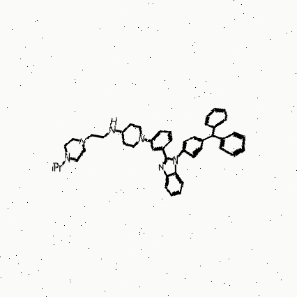 CC(C)N1CCN(CCNC2CCN(c3cccc(-c4nc5ccccc5n4-c4ccc(C(c5ccccc5)c5ccccc5)cc4)c3)CC2)CC1